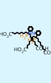 O=C(O)CCCCCCCC(P)(CCCCCCCC(=O)O)c1ccccc1Nc1ccccc1C(P)(CCCCCCCC(=O)O)CCCCCCCC(=O)O